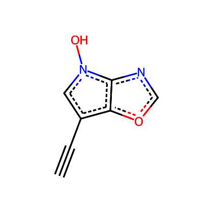 C#Cc1cn(O)c2ncoc12